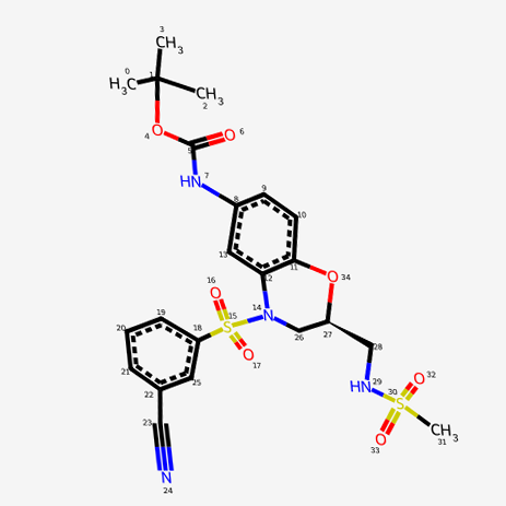 CC(C)(C)OC(=O)Nc1ccc2c(c1)N(S(=O)(=O)c1cccc(C#N)c1)C[C@H](CNS(C)(=O)=O)O2